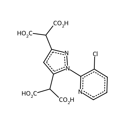 O=C(O)C(C(=O)O)c1cc(C(C(=O)O)C(=O)O)n(-c2ncccc2Cl)n1